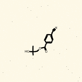 CC(C)(O)COC(=O)c1ccc(C#N)cc1